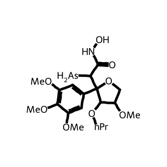 CCCOC1C(OC)COC1(c1cc(OC)c(OC)c(OC)c1)C([AsH2])C(=O)NO